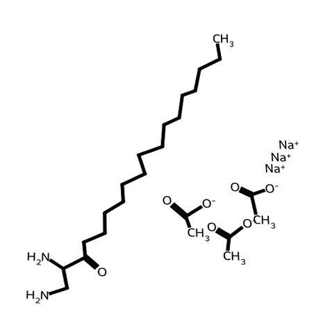 CC(=O)[O-].CC(=O)[O-].CC(=O)[O-].CCCCCCCCCCCCCCCC(=O)C(N)CN.[Na+].[Na+].[Na+]